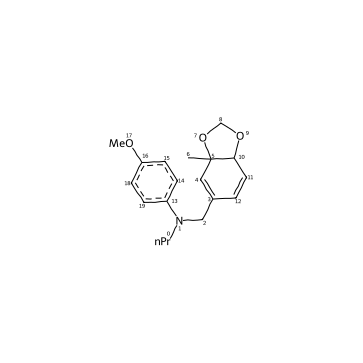 CCCN(CC1=CC2(C)OCOC2C=C1)c1ccc(OC)cc1